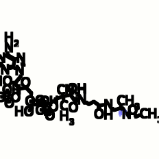 CCO/N=C(\C)CNC(=O)CCNC(=O)C(O)C(C)(C)COP(=O)(O)OP(=O)(O)OCC1OC(n2cnc3c(N)ncnc32)C(O)C1OP(=O)(O)O